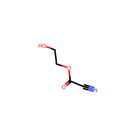 N#CC(=O)OCCO